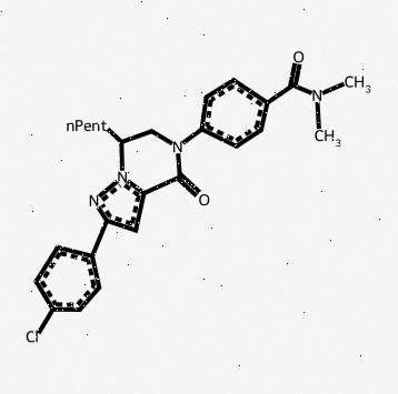 CCCCCC1CN(c2ccc(C(=O)N(C)C)cc2)C(=O)c2cc(-c3ccc(Cl)cc3)nn21